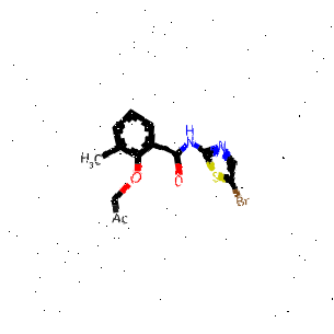 CC(=O)COc1c(C)cccc1C(=O)Nc1ncc(Br)s1